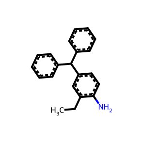 CCc1cc(C(c2ccccc2)c2ccccc2)ccc1N